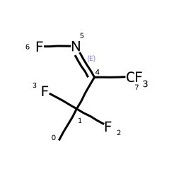 CC(F)(F)/C(=N\F)C(F)(F)F